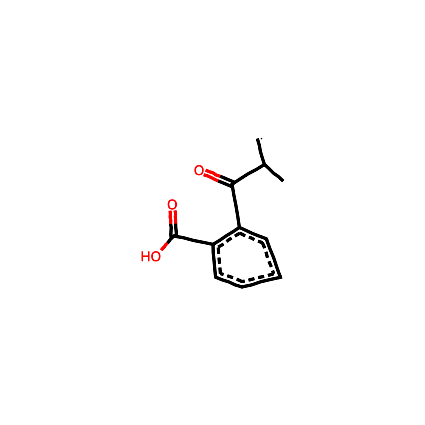 [CH2]C(C)C(=O)c1ccccc1C(=O)O